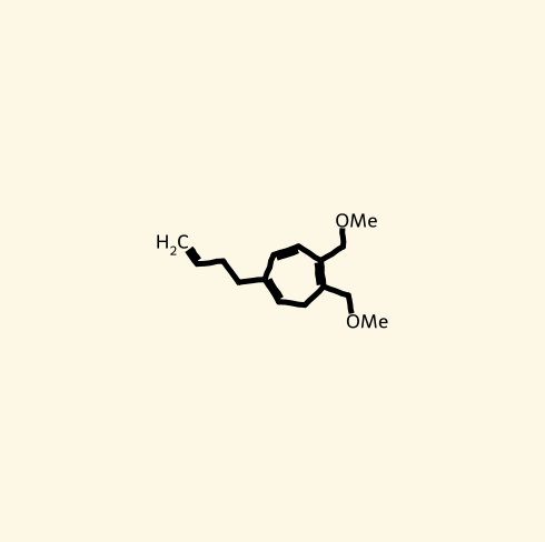 C=CCCC1=CCC(COC)=C(COC)C=C1